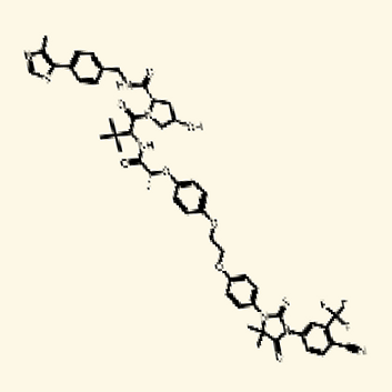 Cc1ncsc1-c1ccc(CNC(=O)[C@H]2C[C@@H](O)CN2C(=O)[C@@H](NC(=O)[C@@H](C)Oc2ccc(OCCOc3ccc(N4C(=S)N(c5ccc(C#N)c(C(F)(F)F)c5)C(=O)C4(C)C)cc3)cc2)C(C)(C)C)cc1